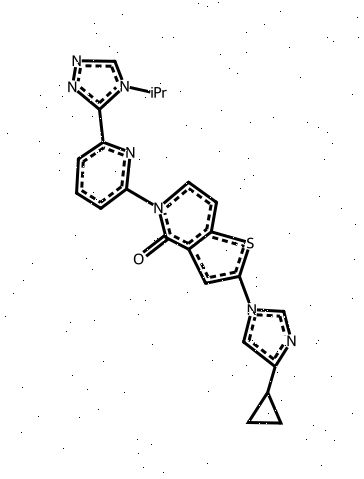 CC(C)n1cnnc1-c1cccc(-n2ccc3sc(-n4cnc(C5CC5)c4)cc3c2=O)n1